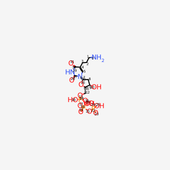 NCCCc1cn([C@H]2CC(O)[C@@H](COP(=O)(O)OP(=O)(O)OP(=O)(O)O)O2)c(=O)[nH]c1=O